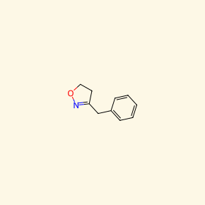 c1ccc(CC2=NOCC2)cc1